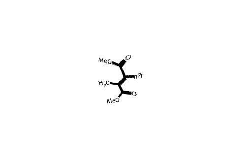 CCCC(C(=O)OC)=C(C)C(=O)OC